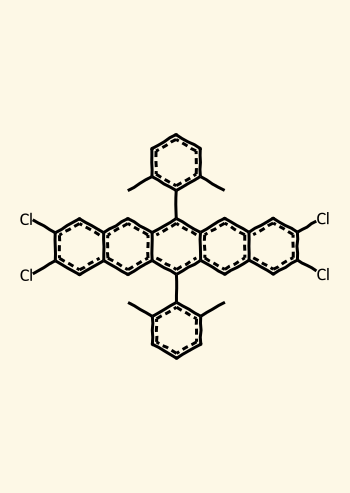 Cc1cccc(C)c1-c1c2cc3cc(Cl)c(Cl)cc3cc2c(-c2c(C)cccc2C)c2cc3cc(Cl)c(Cl)cc3cc12